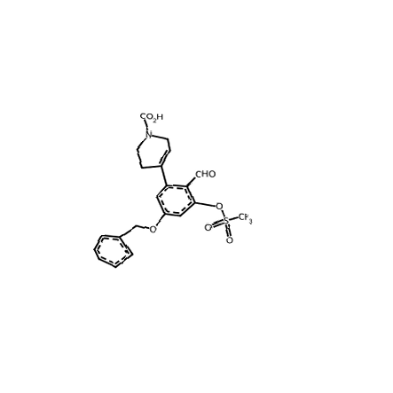 O=Cc1c(OS(=O)(=O)C(F)(F)F)cc(OCc2ccccc2)cc1C1=CCN(C(=O)O)CC1